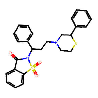 O=C1c2ccccc2S(=O)(=O)N1C(CCN1CCSC(c2ccccc2)C1)c1ccccc1